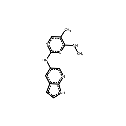 CNc1nc(Nc2cnc3[nH]ccc3c2)ncc1C